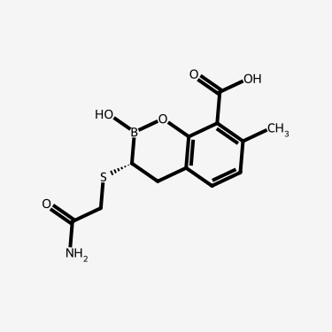 Cc1ccc2c(c1C(=O)O)OB(O)[C@@H](SCC(N)=O)C2